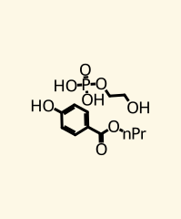 CCCOC(=O)c1ccc(O)cc1.O=P(O)(O)OCCO